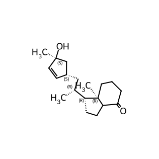 C[C@H](C[C@@H]1C=C[C@@](C)(O)C1)[C@H]1CCC2C(=O)CCC[C@@]21C